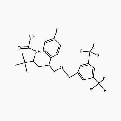 CC(C)(C)C(CC(COCc1cc(C(F)(F)F)cc(C(F)(F)F)c1)c1ccc(F)cc1)NC(=O)O